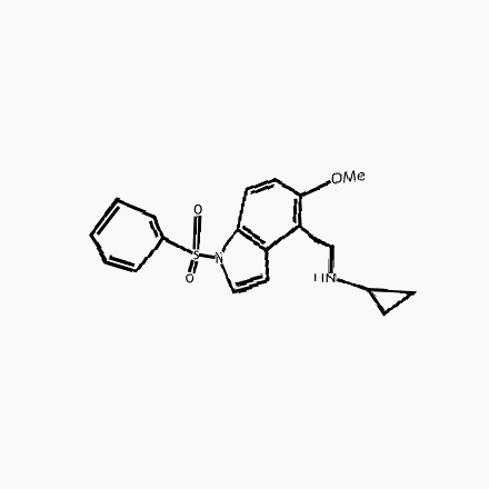 COc1ccc2c(ccn2S(=O)(=O)c2ccccc2)c1CNC1CC1